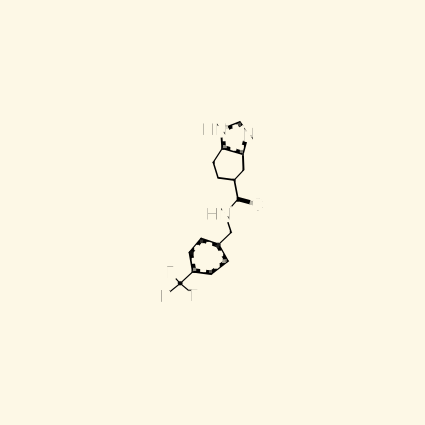 O=C(NCc1ccc(C(F)(F)F)cc1)C1CCc2[nH]cnc2C1